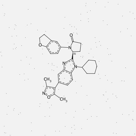 Cc1noc(C)c1-c1ccc2c(c1)nc([C@@H]1CCC(=O)N1c1ccc3c(c1)CCO3)n2C1CCCCC1